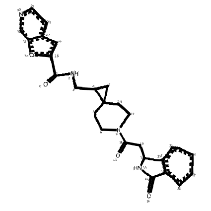 O=C(NCC1CC12CCN(C(=O)CC1NC(=O)c3ccccc31)CC2)c1cc2ccncc2o1